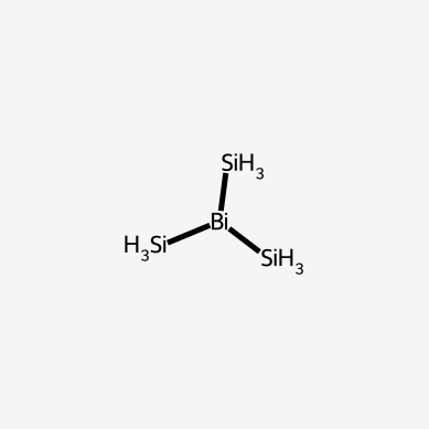 [SiH3][Bi]([SiH3])[SiH3]